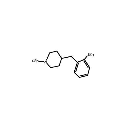 CCCN1CCC(Cc2ccccc2C(C)(C)C)CC1